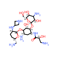 NC[C@@H]1CC[C@@H](NC2CNC2)[C@@H](OC2[C@@H](N)C[C@@H](NC(=O)[C@@H](O)CN)[C@H](O[C@H]3O[C@H](CO)[C@@H](O)C(N)[C@H]3O)[C@H]2O)O1